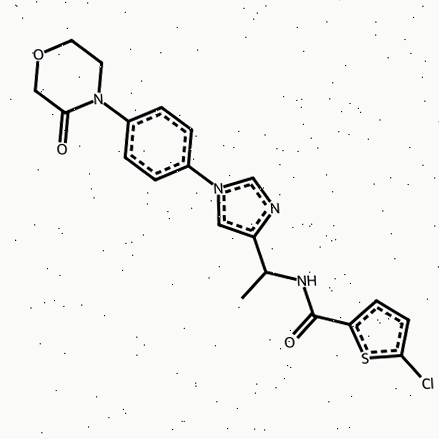 CC(NC(=O)c1ccc(Cl)s1)c1cn(-c2ccc(N3CCOCC3=O)cc2)cn1